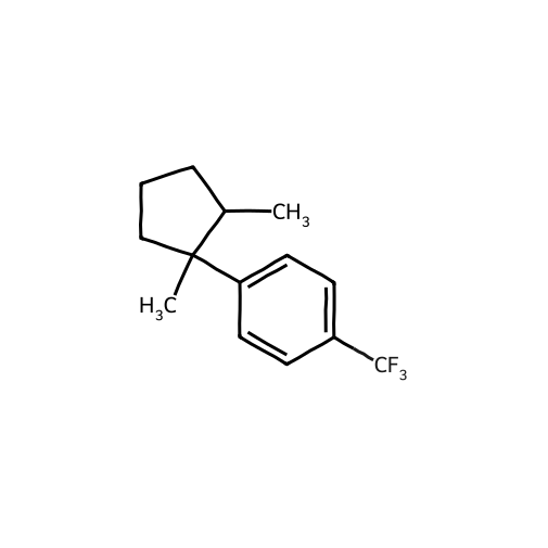 CC1CCCC1(C)c1ccc(C(F)(F)F)cc1